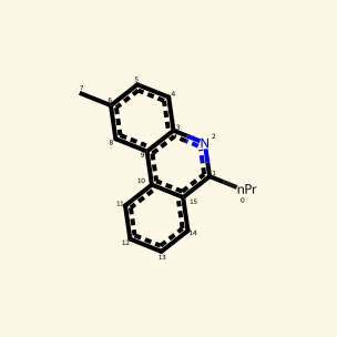 CCCc1nc2ccc(C)cc2c2ccccc12